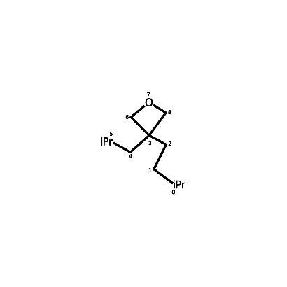 CC(C)CCC1(CC(C)C)COC1